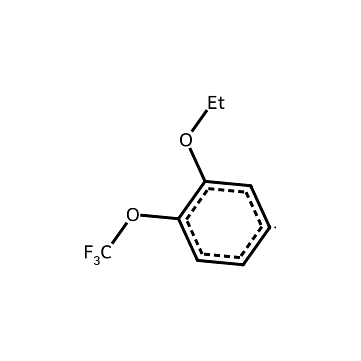 CCOc1c[c]ccc1OC(F)(F)F